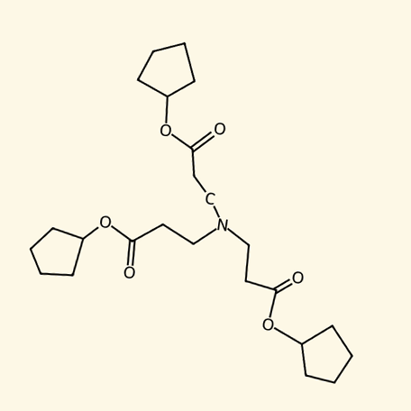 O=C(CCN(CCC(=O)OC1CCCC1)CCC(=O)OC1CCCC1)OC1CCCC1